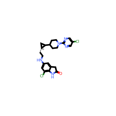 O=C1Cc2cc(NCC[C@@H]3CC3C3CCN(c4ncc(Cl)cn4)CC3)cc(Cl)c2N1